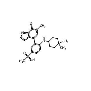 Cn1cc(-c2cc(S(C)(=N)=O)ccc2NC2CCC(C)(C)CC2)c2cc[nH]c2c1=O